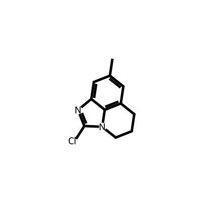 Cc1cc2c3c(c1)nc(Cl)n3CCC2